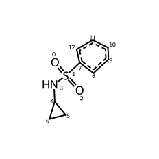 O=S(=O)(NC1CC1)c1c[c]ccc1